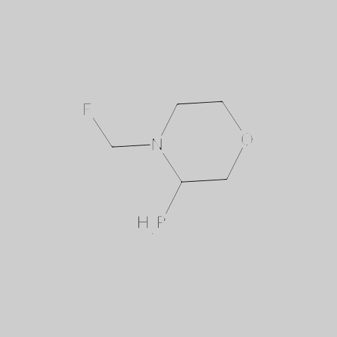 FCN1CCOCC1P